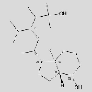 CC(C[C@@H](C(C)C(C)(C)O)N(C)C)[C@H]1CC[C@H]2[C@@H](O)CCC[C@]12C